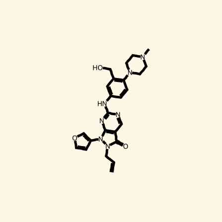 C=CCn1c(=O)c2cnc(Nc3ccc(N4CCN(C)CC4)c(CO)c3)nc2n1-c1ccoc1